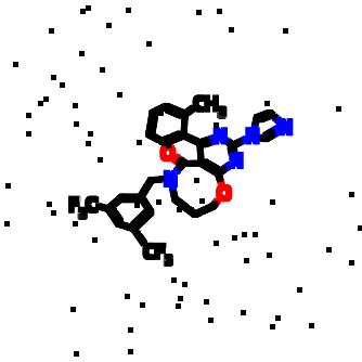 Cc1ccccc1-c1nc(-n2ccnc2)nc2c1C(=O)N(Cc1cc(C(F)(F)F)cc(C(F)(F)F)c1)CCCO2